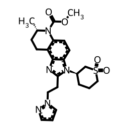 COC(=O)N1c2ccc3c(nc(CCn4cccn4)n3[C@@H]3CCCS(=O)(=O)C3)c2CC[C@@H]1C